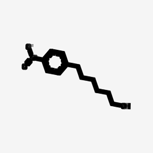 O=[N+]([O-])c1ccc(CCCCCCO)cc1